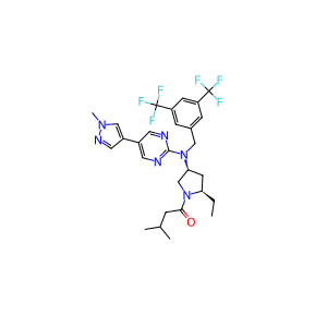 CC[C@@H]1C[C@H](N(Cc2cc(C(F)(F)F)cc(C(F)(F)F)c2)c2ncc(-c3cnn(C)c3)cn2)CN1C(=O)CC(C)C